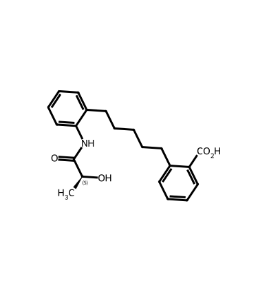 C[C@H](O)C(=O)Nc1ccccc1CCCCCc1ccccc1C(=O)O